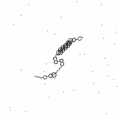 CCCCCC1CCC(c2ccc(OCCCCCCc3ccc4cccc(-c5cccc6ccc(CCOOOOOOOOOOOc7ccc(C8CCC(C)CC8)cc7)cc56)c4c3)cc2)CC1